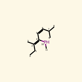 CC/C(C)=C(/C=C\C(C)C)PC